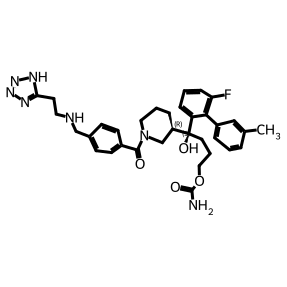 Cc1cccc(-c2c(F)cccc2[C@](O)(CCCOC(N)=O)[C@@H]2CCCN(C(=O)c3ccc(CNCCc4nnn[nH]4)cc3)C2)c1